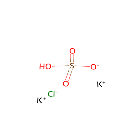 O=S(=O)([O-])O.[Cl-].[K+].[K+]